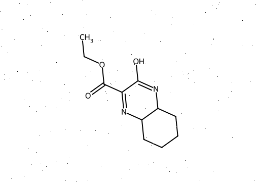 CCOC(=O)C1=NC2CCCCC2N=C1O